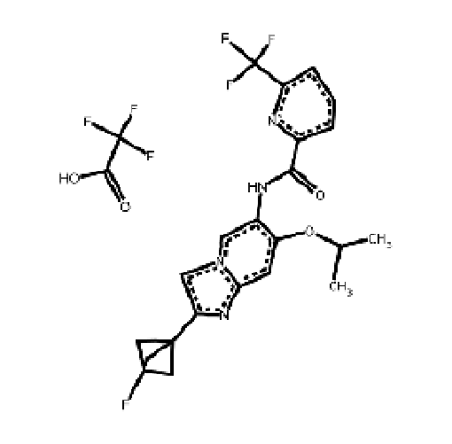 CC(C)Oc1cc2nc(C34CC(F)(C3)C4)cn2cc1NC(=O)c1cccc(C(F)(F)F)n1.O=C(O)C(F)(F)F